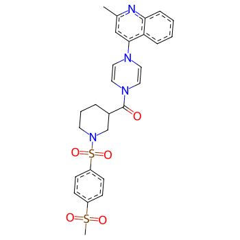 Cc1cc(N2C=CN(C(=O)C3CCCN(S(=O)(=O)c4ccc(S(C)(=O)=O)cc4)C3)C=C2)c2ccccc2n1